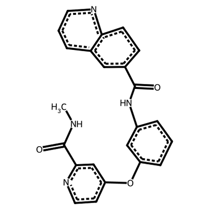 CNC(=O)c1cc(Oc2cccc(NC(=O)c3ccc4ncccc4c3)c2)ccn1